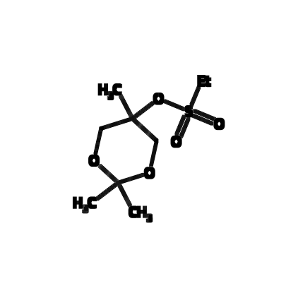 CCS(=O)(=O)OC1(C)COC(C)(C)OC1